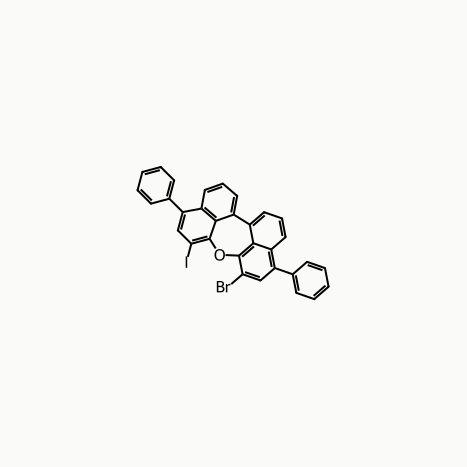 Brc1cc(-c2ccccc2)c2cccc3c4cccc5c(-c6ccccc6)cc(I)c(oc1c23)c54